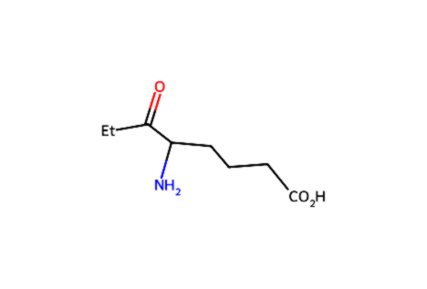 CCC(=O)C(N)CCCC(=O)O